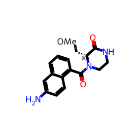 COC[C@@H]1C(=O)NCCN1C(=O)c1cccc2cc(N)ccc12